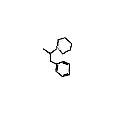 CC(Cc1ccccc1)N1CCCCC1